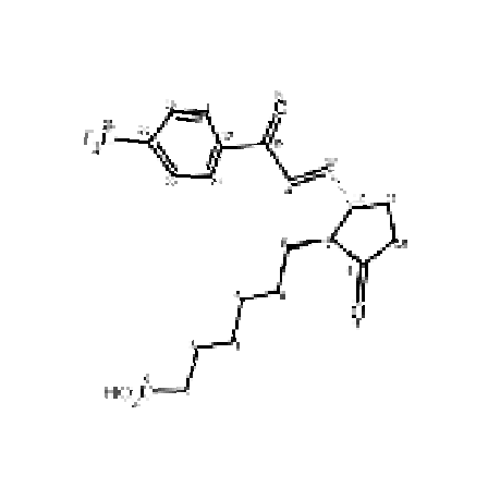 O=C(O)CCCCCC[C@@H]1C(=O)CC[C@H]1C=CC(=O)c1ccc(C(F)(F)F)cc1